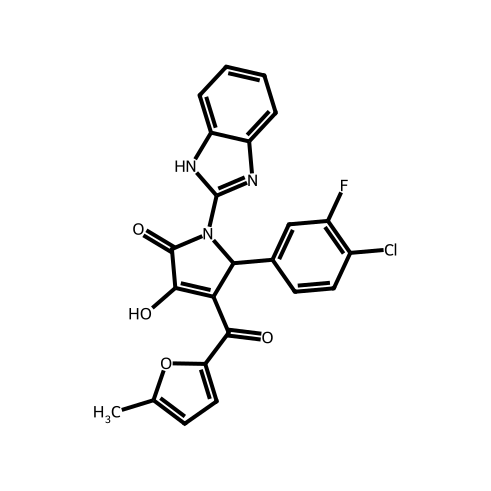 Cc1ccc(C(=O)C2=C(O)C(=O)N(c3nc4ccccc4[nH]3)C2c2ccc(Cl)c(F)c2)o1